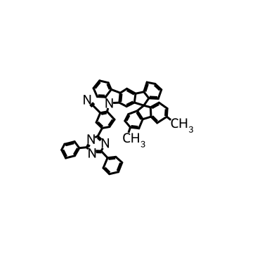 Cc1ccc2c(c1)-c1cc(C)ccc1C21c2ccccc2-c2cc3c4ccccc4n(-c4ccc(-c5nc(-c6ccccc6)nc(-c6ccccc6)n5)cc4C#N)c3cc21